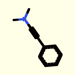 CN(C)C#Cc1ccccc1